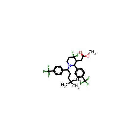 COC(=O)CC1C(c2ccc(C(F)(F)F)cc2)N(C(CCC(C)(C)C)c2ccc(C(F)(F)F)cc2)CCC1(F)F